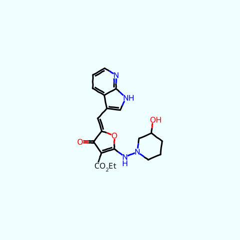 CCOC(=O)C1=C(NN2CCCC(O)C2)O/C(=C\c2c[nH]c3ncccc23)C1=O